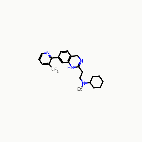 CCN(CCC1=N[CH]c2ccc(-c3ncccc3C(F)(F)F)cc2N1)C1CCCCC1